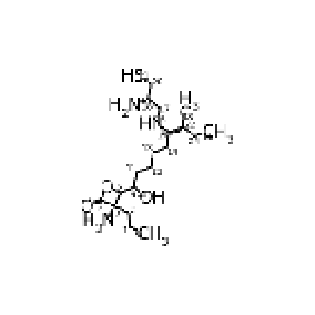 CCC[C@]1(N)C(=O)OC1C(O)CCCCC(NC[C@@H](N)CS)=C(C)CC